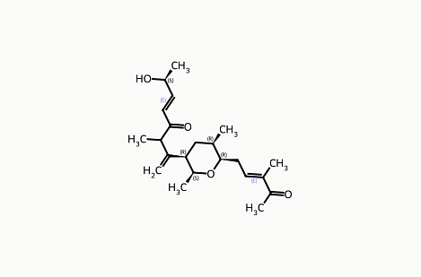 C=C(C(C)C(=O)/C=C/[C@H](C)O)[C@H]1C[C@@H](C)[C@@H](C/C=C(\C)C(C)=O)O[C@H]1C